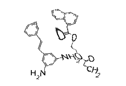 C=CC(=O)OCCOC(=O)c1cccc2ccccc12.Nc1cc(N)cc(C=Cc2ccccc2)c1